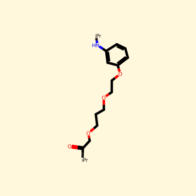 CC(C)Nc1cccc(OCCOCCCOCC(=O)C(C)C)c1